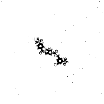 CS(=O)(=O)c1cc(Cl)cc(COC(=O)N2CC3=CN(C(=O)c4ccc(S(N)(=O)=O)cc4)C[C@H]3C2)c1